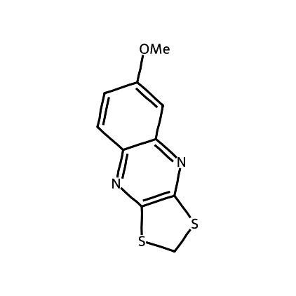 COc1ccc2nc3c(nc2c1)SCS3